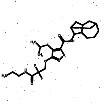 CC(C)Sc1c(OCC(F)(F)C(=O)NCCN)noc1C(=O)NC1C2CC3CCCC1C(C3)C2